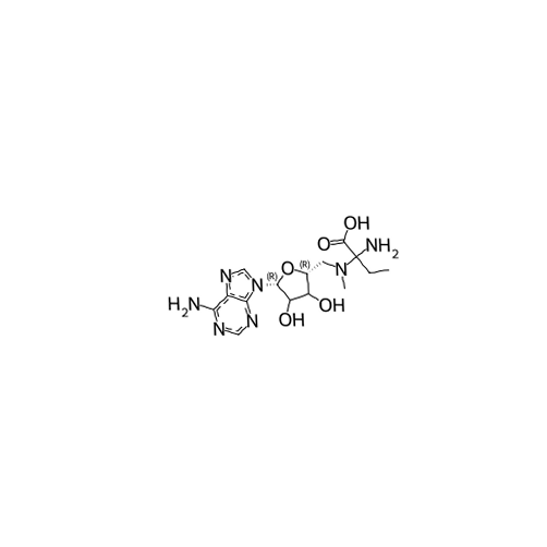 CCC(N)(C(=O)O)N(C)C[C@H]1O[C@@H](n2cnc3c(N)ncnc32)C(O)C1O